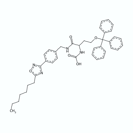 CCCCCCCc1nc(-c2ccc(CNC(=O)C(CCOC(c3ccccc3)(c3ccccc3)c3ccccc3)NC(=O)O)cc2)no1